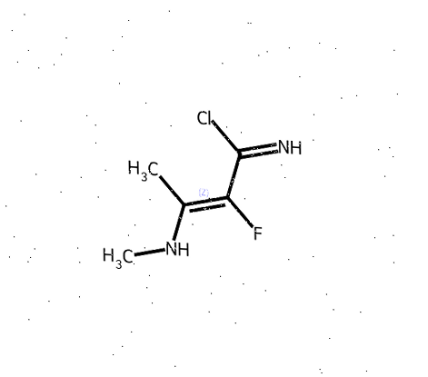 CN/C(C)=C(\F)C(=N)Cl